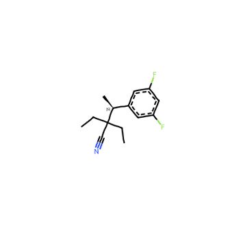 CCC(C#N)(CC)[C@@H](C)c1cc(F)cc(F)c1